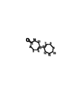 O=C1CCC=C(C2=CCCCCC2)CC1